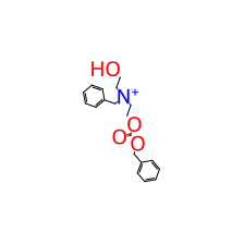 C[N+](CCO)(CCOC(=O)OCc1ccccc1)Cc1ccccc1